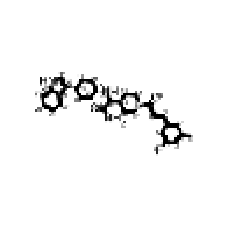 Cc1cc(F)cc(/C=C/C(=O)N2CCC(C(N[C@H]3CC[C@@H](c4c[nH]c5ccccc54)CC3)C(N)=O)CC2)c1